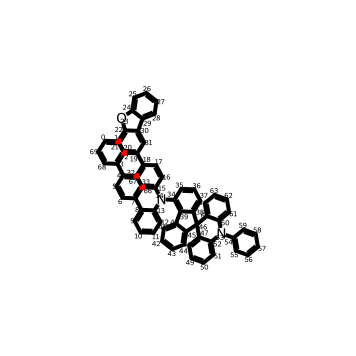 c1ccc(-c2ccc(-c3ccccc3N(c3ccc(-c4ccc5oc6ccccc6c5c4)cc3)c3cccc4c3-c3ccccc3C43c4ccccc4N(c4ccccc4)c4ccccc43)cc2)cc1